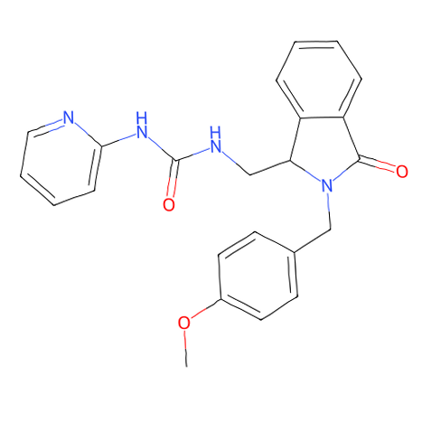 COc1ccc(CN2C(=O)c3ccccc3C2CNC(=O)Nc2ccccn2)cc1